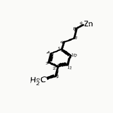 C=Cc1ccc(CC[CH2][Zn])cc1